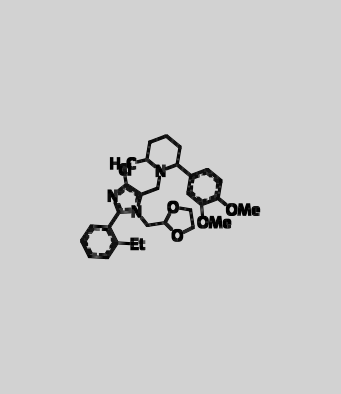 CCc1ccccc1-c1nc(Cl)c(CN2C(C)CCCC2c2ccc(OC)c(OC)c2)n1CC1OCCO1